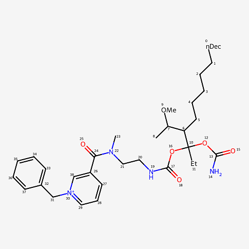 CCCCCCCCCCCCCCCC(C(C)OC)C(CC)(OC(N)=O)OC(=O)NCCN(C)C(=O)c1ccc[n+](Cc2ccccc2)c1